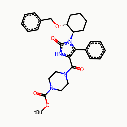 CC(C)(C)OC(=O)N1CCN(C(=O)c2[nH]c(=O)n([C@@H]3CCCC[C@H]3OCc3ccccc3)c2-c2ccccc2)CC1